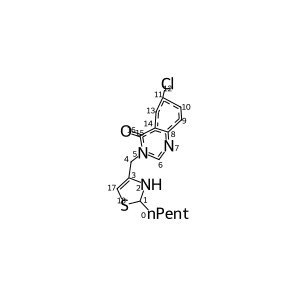 CCCCCC1NC(Cn2cnc3ccc(Cl)cc3c2=O)=CS1